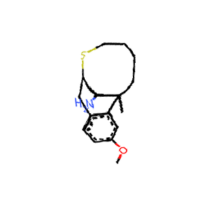 COc1ccc2c(c1)C1(C)CCCCSC(C2)C1N